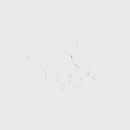 CCO[C@H]1CCC[C@@H]1Nc1nc(N[C@H]2CC[C@H](OCC)CC2)ncc1C(N)=O